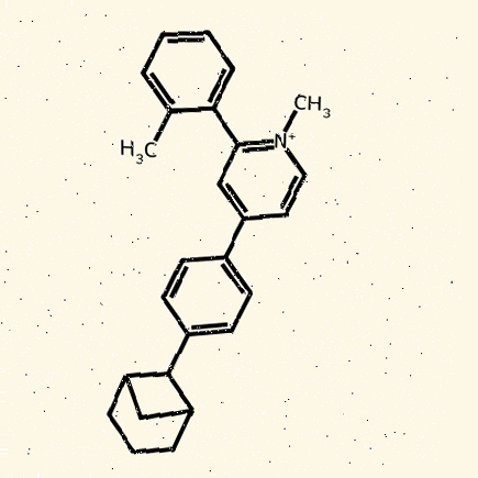 Cc1ccccc1-c1cc(-c2ccc(C3C4CCCC3C4)cc2)cc[n+]1C